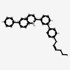 CCC/C=C\Cc1ccc(-c2cccc(-c3ccc4cc(-c5ccccc5)ccc4n3)c2)cc1